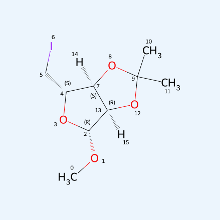 CO[C@@H]1O[C@H](CI)[C@H]2OC(C)(C)O[C@@H]12